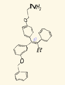 CC/C(=C(/c1ccc(OCCN)cc1)c1cccc(OCc2ccccc2)c1)c1ccccc1